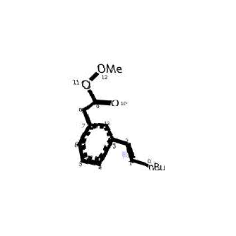 CCCC/C=C/c1cccc(CC(=O)OOC)c1